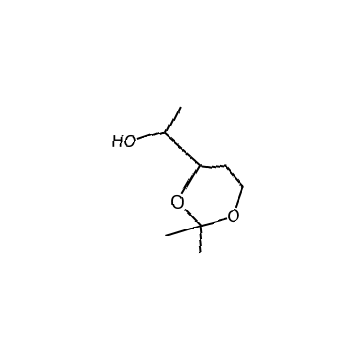 CC(O)C1CCOC(C)(C)O1